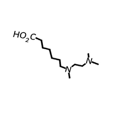 CN(C)CCN(C)CCCCCCC(=O)O